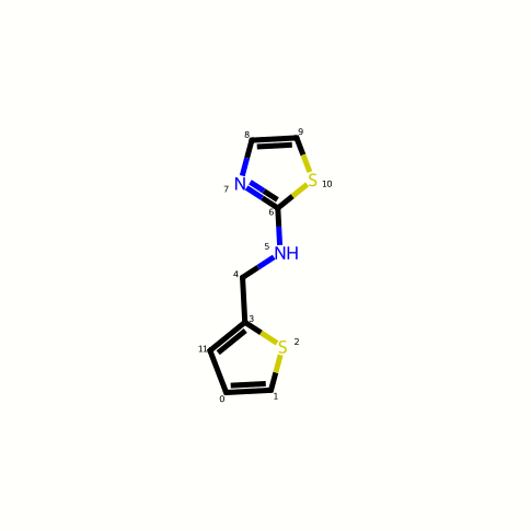 c1csc(CNc2nccs2)c1